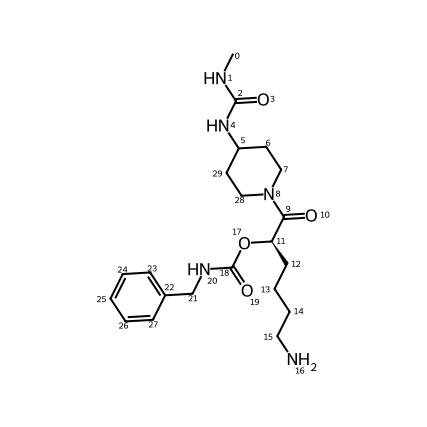 CNC(=O)NC1CCN(C(=O)[C@@H](CCCCN)OC(=O)NCc2ccccc2)CC1